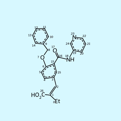 CCC(=Cc1ccc(OCc2ccccc2)c(C(=O)Nc2cccnc2)c1)C(=O)O